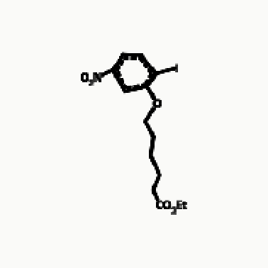 CCOC(=O)CCCCCOc1cc([N+](=O)[O-])ccc1I